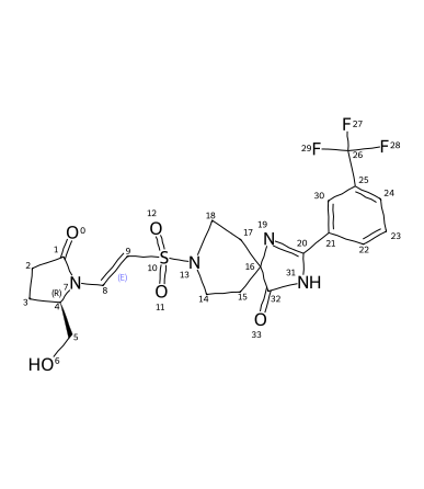 O=C1CC[C@H](CO)N1/C=C/S(=O)(=O)N1CCC2(CC1)N=C(c1cccc(C(F)(F)F)c1)NC2=O